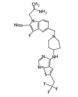 C=C(N)Cn1c(C#N)c(F)c2cc(CN3CCC(Nc4ncnc5sc(CC(F)(F)F)cc45)CC3)ccc21